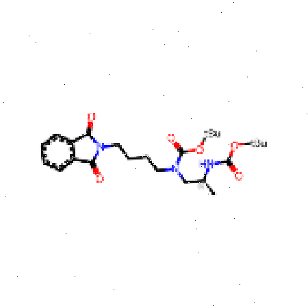 C[C@@H](CN(CCCCN1C(=O)c2ccccc2C1=O)C(=O)OC(C)(C)C)NC(=O)OC(C)(C)C